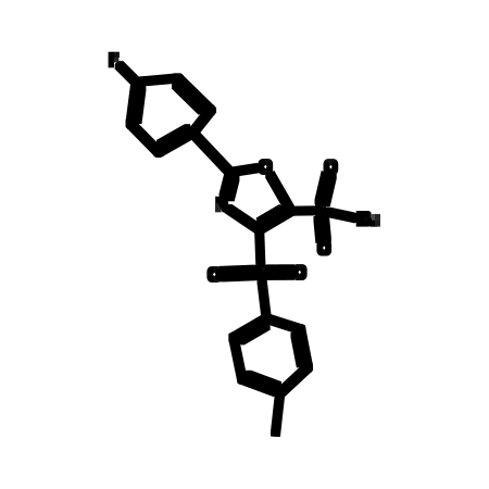 CCC(C)S(=O)(=O)c1oc(-c2ccc(F)cc2)nc1S(=O)(=O)c1ccc(C)cc1